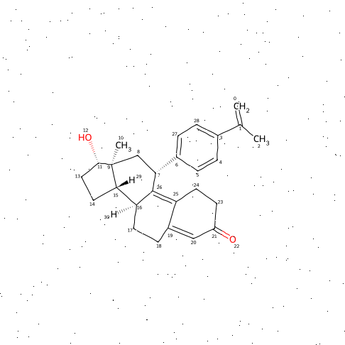 C=C(C)c1ccc([C@H]2C[C@]3(C)[C@@H](O)CC[C@H]3[C@@H]3CCC4=CC(=O)CCC4=C32)cc1